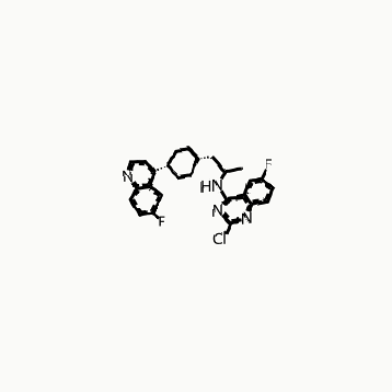 CC(C[C@H]1CC[C@@H](c2ccnc3ccc(F)cc32)CC1)Nc1nc(Cl)nc2ccc(F)cc12